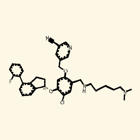 CN(C)CCCCCNCc1cc(Cl)c(O[C@H]2CCc3c(-c4ccccc4F)cccc32)cc1OCc1cncc(C#N)c1